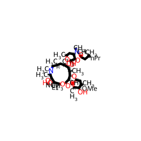 C=C(CCC)CC(=O)O[C@H]1[C@H](O[C@@H]2[C@@H](C)[C@H](O[C@H]3C[C@@](C)(OC)[C@@H](O)[C@H](C)O3)[C@@H](C)C(=O)O[C@H](CC)[C@@](C)(O)[C@H](O[N+](=O)[O-])[C@@H](C)N(C)C[C@H](C)C[C@@]2(C)O)O[C@H](C)C[C@@H]1N(C)C